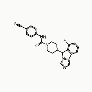 N#Cc1ccc(NC(=O)N2CCC(C3c4c(F)cccc4-c4cncn43)CC2)cc1